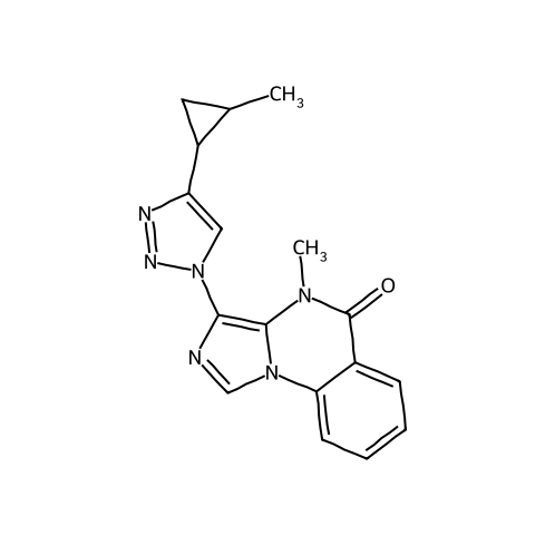 CC1CC1c1cn(-c2ncn3c4ccccc4c(=O)n(C)c23)nn1